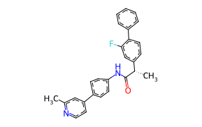 Cc1cc(-c2ccc(NC(=O)[C@@H](C)c3ccc(-c4ccccc4)c(F)c3)cc2)ccn1